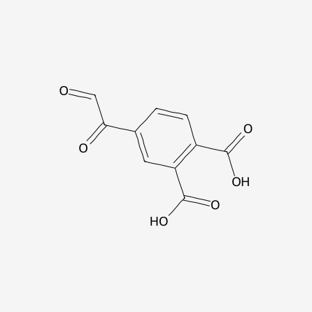 O=CC(=O)c1ccc(C(=O)O)c(C(=O)O)c1